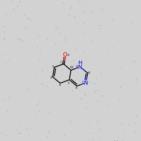 O=C1C=CCC2=CN=CNC12